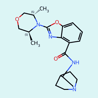 C[C@H]1COC[C@H](C)N1c1nc2c(C(=O)NC3CN4CCC3CC4)cccc2o1